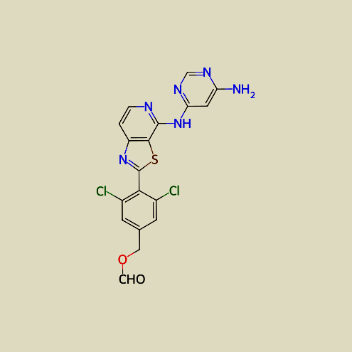 Nc1cc(Nc2nccc3nc(-c4c(Cl)cc(COC=O)cc4Cl)sc23)ncn1